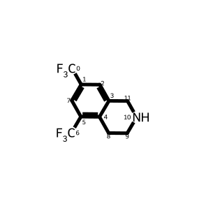 FC(F)(F)c1cc2c(c(C(F)(F)F)c1)CCNC2